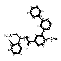 COc1ncc(C(=O)NC(CC(=O)O)c2ccccc2C)cc1-c1cccc(-c2ccccc2)c1